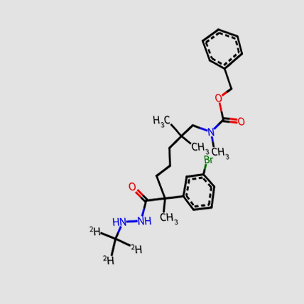 [2H]C([2H])([2H])NNC(=O)C(C)(CCCC(C)(C)CN(C)C(=O)OCc1ccccc1)c1cccc(Br)c1